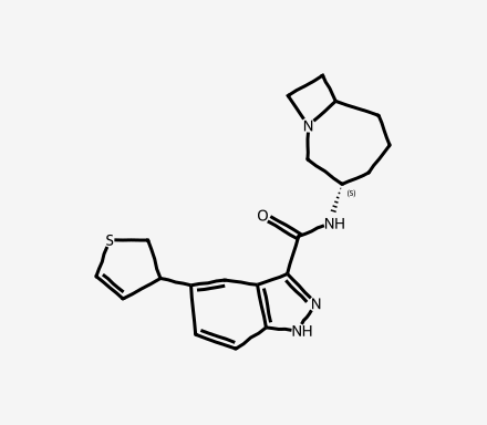 O=C(N[C@H]1CCCC2CCN2C1)c1n[nH]c2ccc(C3C=CSC3)cc12